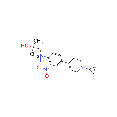 CC(C)(O)CNc1ccc(C2=CCN(C3CC3)CC2)cc1[N+](=O)[O-]